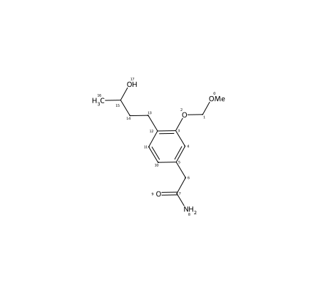 COCOc1cc(CC(N)=O)ccc1CCC(C)O